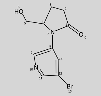 O=C1CCC(CO)N1c1cncc(Br)c1